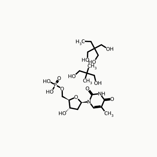 CC(C)(CO)CO.CCC(CO)(CO)CO.Cc1cn([C@H]2C[C@H](O)[C@@H](COP(=O)(O)O)O2)c(=O)[nH]c1=O